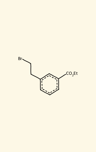 CCOC(=O)c1cccc(CCBr)c1